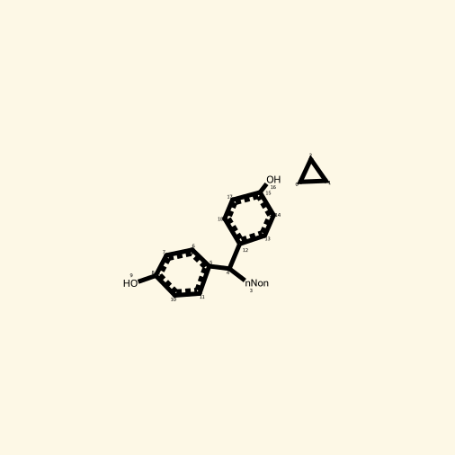 C1CC1.CCCCCCCCCC(c1ccc(O)cc1)c1ccc(O)cc1